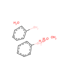 Bc1ccccc1.Bc1ccccc1.O.O.O.O